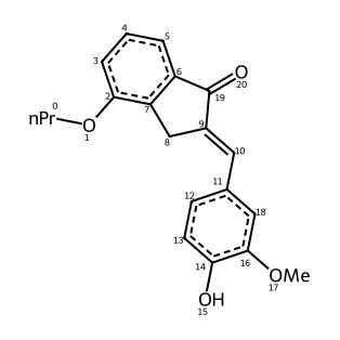 CCCOc1cccc2c1CC(=Cc1ccc(O)c(OC)c1)C2=O